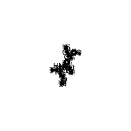 COc1ccc2c(c1)[C@]1(C[C@H]1c1ccc3c(Nc4nc(C5CC5)nc(N5CC(O[Si](C)(C)C(C)(C)C)C5)c4Cl)nn(C(=O)OC(C)(C)C)c3c1)C(=O)N2C(=O)OC(C)(C)C